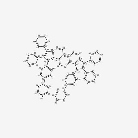 c1ccc(-c2c(-c3ccccc3)n(-c3ccc(-c4ccncc4)cn3)c3c2ccc2c4ccc5c(-c6ccccc6)c(-c6ccccc6)n(-c6ccc(-c7ccncc7)cn6)c5c4ccc23)cc1